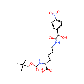 CC(C)(C)COC(=O)N[C@@H](CCCCNC(=O)C(O)c1ccc([N+](=O)[O-])cc1)C(=O)O